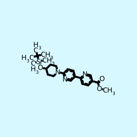 COC(=O)c1ccc(-c2ccc(N3CCC(O[Si](C)(C)C(C)(C)C)CC3)nc2)nc1